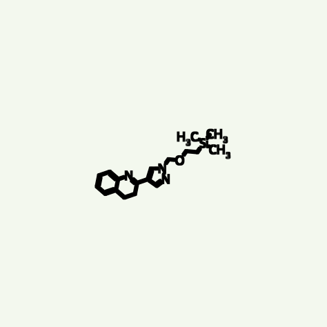 C[Si](C)(C)CCOCn1cc(C2=Nc3ccccc3CC2)cn1